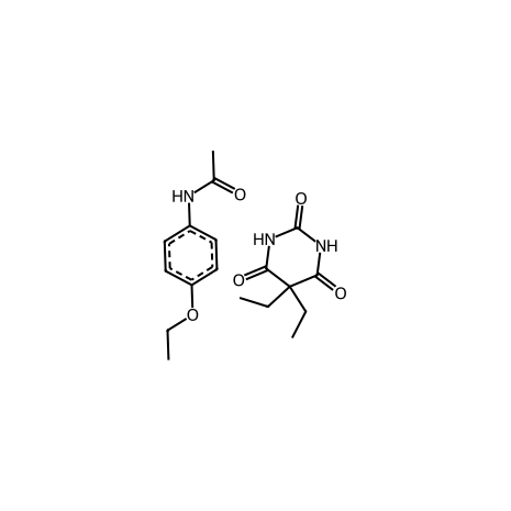 CCC1(CC)C(=O)NC(=O)NC1=O.CCOc1ccc(NC(C)=O)cc1